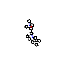 c1ccc(C2(c3ccccc3)c3ccccc3-c3ccc(N(c4ccc(-c5cccc(-c6ccccc6-n6c7ccccc7c7ccccc76)c5)cc4)c4cccc5ccccc45)cc32)cc1